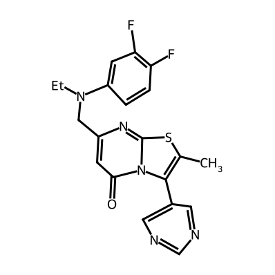 CCN(Cc1cc(=O)n2c(-c3cncnc3)c(C)sc2n1)c1ccc(F)c(F)c1